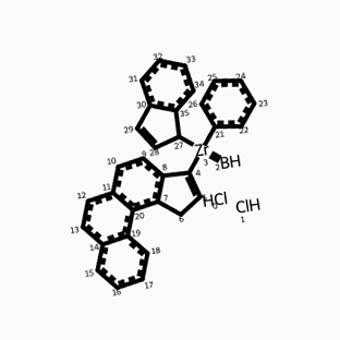 Cl.Cl.[BH]=[Zr]([C]1=CCc2c1ccc1ccc3ccccc3c21)([c]1ccccc1)[CH]1C=Cc2ccccc21